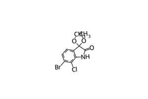 COC1(OC)C(=O)Nc2c1ccc(Br)c2Cl